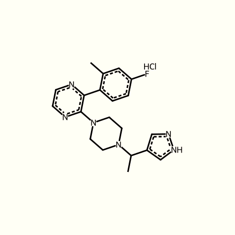 Cc1cc(F)ccc1-c1nccnc1N1CCN(C(C)c2cn[nH]c2)CC1.Cl